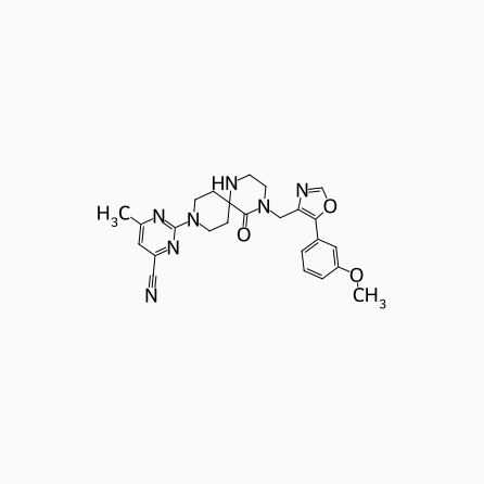 COc1cccc(-c2ocnc2CN2CCNC3(CCN(c4nc(C)cc(C#N)n4)CC3)C2=O)c1